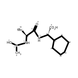 CB(O)N[C@H](C(=O)N[C@H](C(=O)O)C1CCCCC1)C(C)(C)C